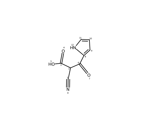 N#CC(C(=O)O)C(=O)c1ccc[nH]1